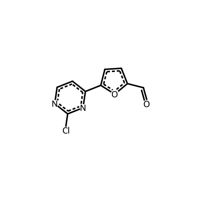 O=Cc1ccc(-c2ccnc(Cl)n2)o1